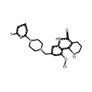 CCOc1cc(CN2CCN(c3cccc(F)n3)CC2)cc2[nH]c(=O)c3c(c12)NCCC3